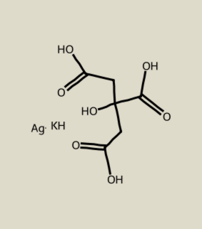 O=C(O)CC(O)(CC(=O)O)C(=O)O.[Ag].[KH]